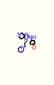 COc1ccc(Nc2nc3cnccc3n2CCCN2CCCCC2)cc1